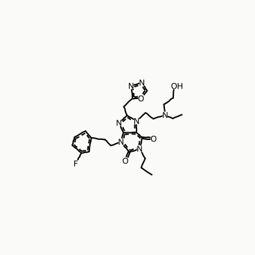 CCCn1c(=O)c2c(nc(Cc3nnco3)n2CCN(CC)CCO)n(CCc2cccc(F)c2)c1=O